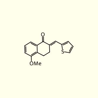 COc1cccc2c1CCC(=Cc1cccs1)C2=O